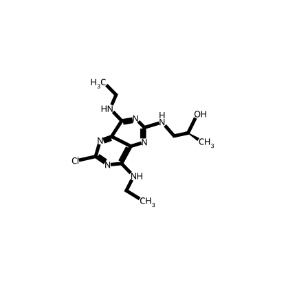 CCNc1nc(NC[C@H](C)O)nc2c(NCC)nc(Cl)nc12